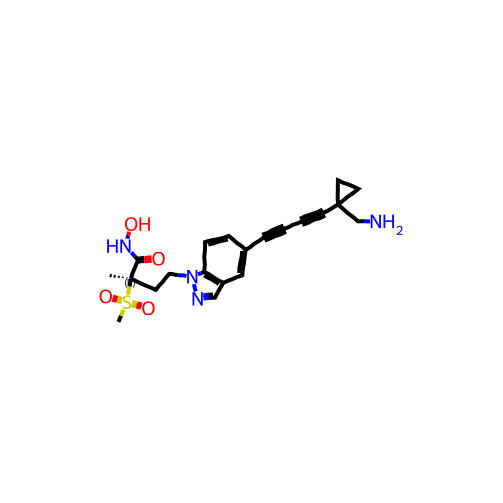 C[C@@](CCn1ncc2cc(C#CC#CC3(CN)CC3)ccc21)(C(=O)NO)S(C)(=O)=O